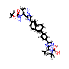 CC(C)[C@H](NC(=O)OC(C)(C)C)c1nc(-c2ccc3cc(-c4ccc(-c5c[nH]c([C@H](C(C)C)N(C(=O)O)C(C)(C)C)n5)cc4)ccc3c2)c[nH]1